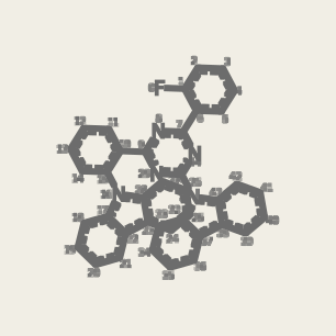 Fc1ccccc1-c1nc(-c2ccccc2-n2c3ccccc3c3ccccc32)nc(-n2c3ccccc3c3ccccc32)n1